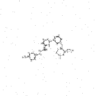 O=C(O)C1CNCCN1Cc1cccc(-c2ccnc(NCCc3ccc(O)cc3)n2)c1